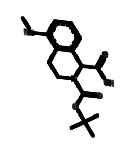 CNc1cccc2c1CCN(C(=O)OC(C)(C)C)C2C(=O)O